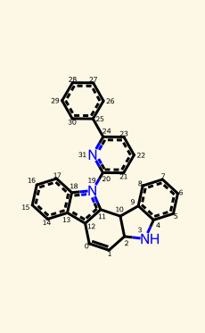 C1=CC2Nc3ccccc3C2c2c1c1ccccc1n2-c1cccc(-c2ccccc2)n1